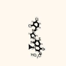 O=C(O)Oc1cn(C2CC2)c2c(F)c(N3CCC(N=Cc4ccc(Cl)cc4Cl)C3)c(F)cc2c1=O